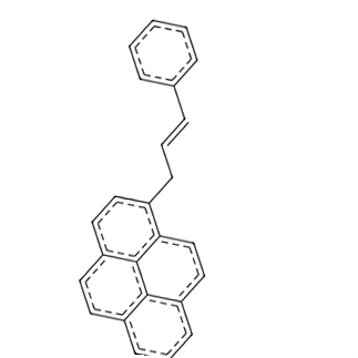 C(=C\c1ccccc1)/Cc1ccc2ccc3cccc4ccc1c2c34